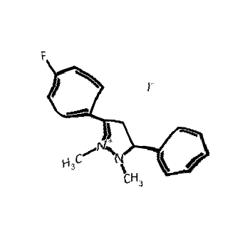 CN1C(c2ccccc2)CC(c2ccc(F)cc2)=[N+]1C.[I-]